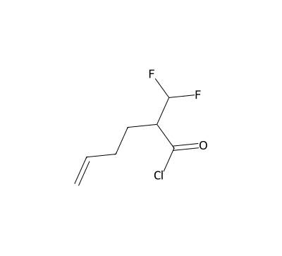 C=CCCC(C(=O)Cl)C(F)F